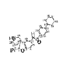 CC(C)C1Oc2ccc(NC(=O)c3ccc(C4CCCCC4)cc3)cc2C12CCNCC2